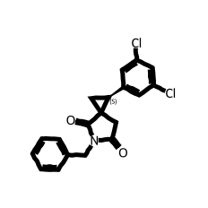 O=C1CC2(C[C@H]2c2cc(Cl)cc(Cl)c2)C(=O)N1Cc1ccccc1